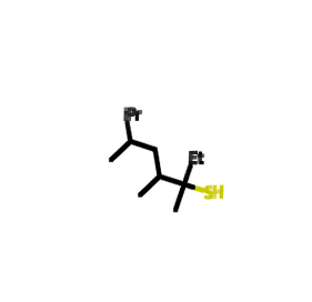 CCC(C)(S)C(C)CC(C)C(C)C